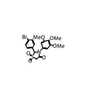 COc1cc(N2C(=O)CS(=O)(=O)C2c2ccc(Br)cc2)cc(OC)c1OC